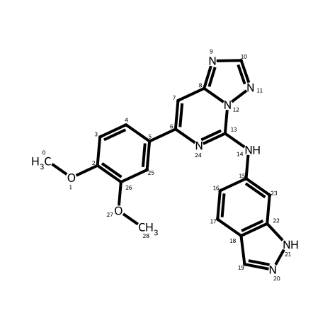 COc1ccc(-c2cc3ncnn3c(Nc3ccc4cn[nH]c4c3)n2)cc1OC